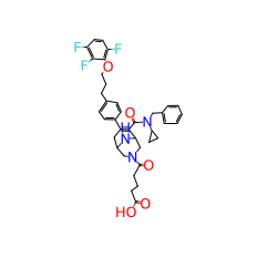 O=C(O)CCCC(=O)N1CC2CC(c3ccc(CCCOc4c(F)ccc(F)c4F)cc3)=C(C(=O)N(Cc3ccccc3)C3CC3)C(C1)N2